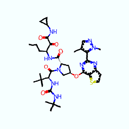 CCC[C@H](NC(=O)[C@@H]1C[C@@H](Oc2nc(-c3c(C)cnn3C)nc3ccsc23)CN1C(=O)[C@@H](NC(=O)NC(C)(C)C)C(C)(C)C)C(=O)C(=O)NC1CC1